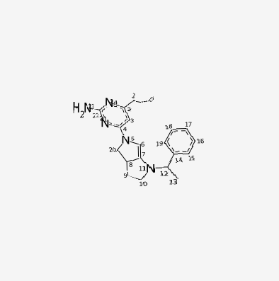 CCc1cc(N2C=C3C(CCN3C(C)c3ccccc3)C2)nc(N)n1